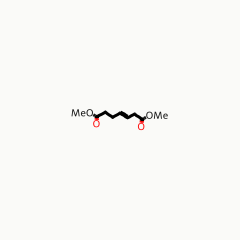 COC(=O)CC=CCCC(=O)OC